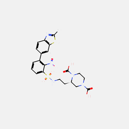 Cc1nc2ccc(-c3cccc(S(=O)(=O)NCC[C@@H]4CN(C(=O)O)CCN4C(=O)O)c3[N+](=O)[O-])cc2s1